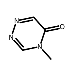 Cn1cnncc1=O